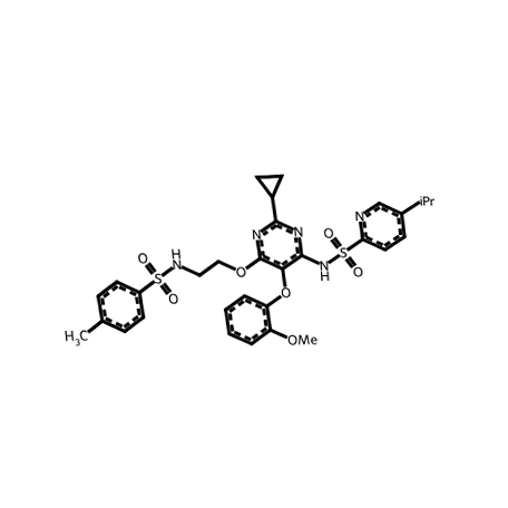 COc1ccccc1Oc1c(NS(=O)(=O)c2ccc(C(C)C)cn2)nc(C2CC2)nc1OCCNS(=O)(=O)c1ccc(C)cc1